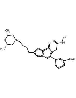 COc1cccc(-c2cn3cc(CCCCN4C[C@@H](C)O[C@@H](C)C4)cc3c(=O)n2CC(=O)NC(C)C)c1